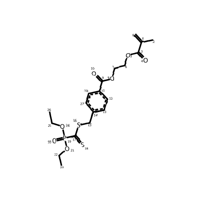 C=C(C)C(=O)OCCOC(=O)c1ccc(CSC(=S)P(=O)(OCC)OCC)cc1